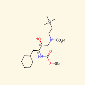 CC(C)(C)OC(=O)N[C@@H](CC1CCCCC1)[C@@H](O)CN(CC[Si](C)(C)C)C(=O)O